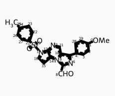 COc1ccc(-c2nc(C=O)n3c2cnc2c3ccn2S(=O)(=O)c2ccc(C)cc2)cc1